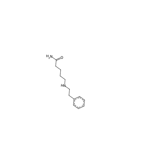 NC(=O)CCCCNCCc1ccccc1